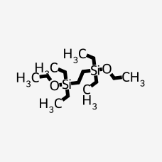 CCO[Si](CC)(CC)CC[Si](CC)(CC)OCC